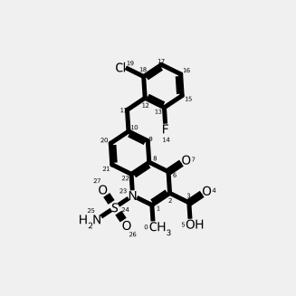 Cc1c(C(=O)O)c(=O)c2cc(Cc3c(F)cccc3Cl)ccc2n1S(N)(=O)=O